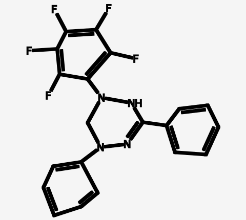 Fc1c(F)c(F)c(N2CN(c3ccccc3)N=C(c3ccccc3)N2)c(F)c1F